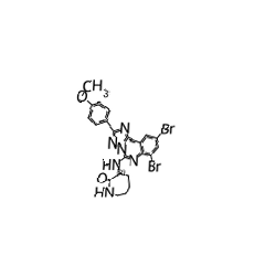 COc1ccc(-c2nc3c4cc(Br)cc(Br)c4nc(N[C@@H]4CCCCNC4=O)n3n2)cc1